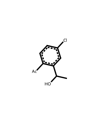 CC(=O)c1ccc(Cl)cc1C(C)O